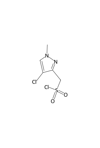 Cn1cc(Cl)c(CS(=O)(=O)Cl)n1